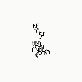 CSCC(=O)Nc1c2c(nn1Cc1ccon1)CC(CCc1cccc(OCC(F)(F)F)c1)NC2=O